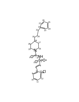 O=C(NS(=O)(=O)C=Cc1ccccc1Cl)N1CCC(CCCc2ccccc2)CC1